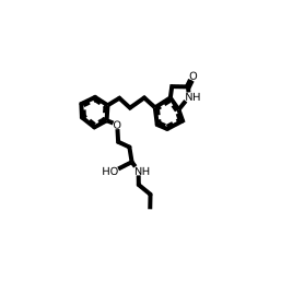 CCCNC(O)CCOc1ccccc1CCCc1cccc2c1CC(=O)N2